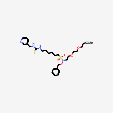 COCCOCCOCCN(OCc1ccccc1)S(=O)(=O)CCCCCCNC(=S)NCc1cccnc1